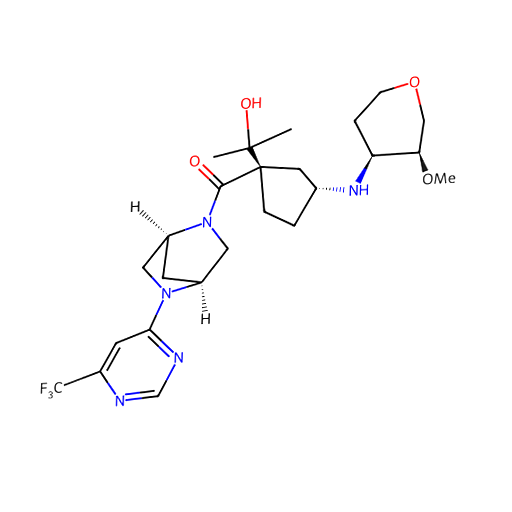 CO[C@@H]1COCC[C@@H]1N[C@@H]1CC[C@@](C(=O)N2C[C@@H]3C[C@H]2CN3c2cc(C(F)(F)F)ncn2)(C(C)(C)O)C1